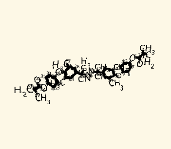 C=C(C)C(=O)Oc1ccc(Oc2c(C)cc(C(C)(C#N)N=NC(C)(C#N)c3cc(C)c(Oc4ccc(OC(=O)C(=C)C)cc4)c(C)c3)cc2C)cc1